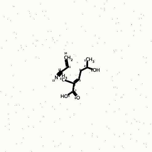 C/C(=C\CC(C)O)C(=O)O.C=CC#N